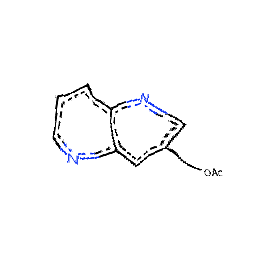 CC(=O)Oc1cnc2cccnc2c1